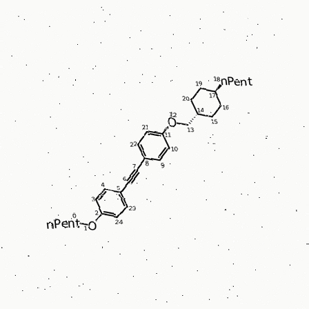 CCCCCOc1ccc(C#Cc2ccc(OC[C@H]3CC[C@H](CCCCC)CC3)cc2)cc1